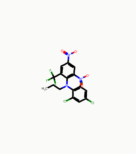 CCCN(c1c(Cl)cc(Cl)cc1Cl)c1c([N+](=O)[O-])cc([N+](=O)[O-])cc1C(F)(F)F